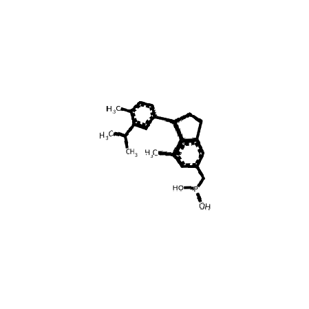 Cc1ccc(C2CCc3cc(CP(O)O)cc(C)c32)cc1C(C)C